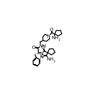 NC(=O)C1(C(=O)N[C@H](Cc2ccccc2)C(=O)NCC2CCN(C(=O)C3(N)CCCC3)CC2)CCCC1